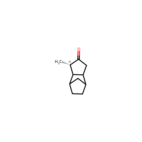 C[C@@H]1C(=O)CC2C3CCC(C3)C21